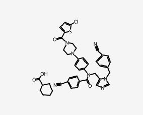 N#Cc1ccc(Cn2cncc2CN(C(=O)c2ccc(C#N)cc2)c2ccc(N3CCN(C(=O)c4ccc(Cl)s4)CC3)cc2)cc1.O=C(O)C1CCCCC1